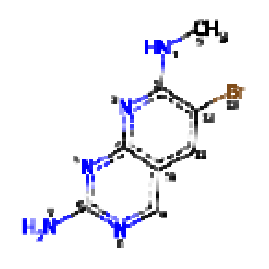 CNc1nc2nc(N)ncc2cc1Br